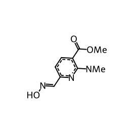 CNc1nc(/C=N/O)ccc1C(=O)OC